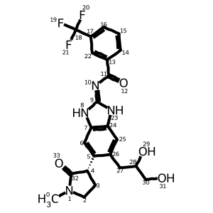 CN1CC[C@@H](c2cc3[nH]/c(=N/C(=O)c4cccc(C(F)(F)F)c4)[nH]c3cc2CC(O)CO)C1=O